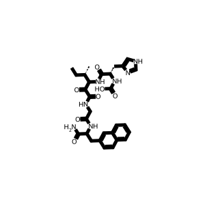 CC[C@H](C)C(NC(=O)[C@H](Cc1c[nH]cn1)NC(=O)O)C(=O)C(=O)NCC(=O)NC(Cc1ccc2ccccc2c1)C(N)=O